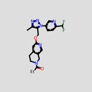 CCC(=O)N1CCc2cc(OCc3c(C)nnn3-c3ccc(C(F)F)nc3)ncc2C1